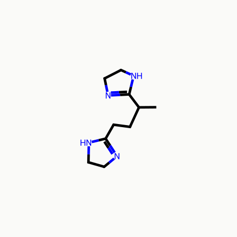 CC(CCC1=NCCN1)C1=NCCN1